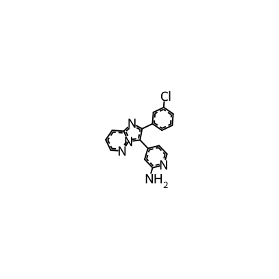 Nc1cc(-c2c(-c3cccc(Cl)c3)nc3cccnn23)ccn1